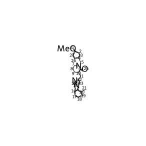 COc1ccc(CN2CCCC(Cc3cn(-c4ccccc4C)cn3)C2=O)cc1